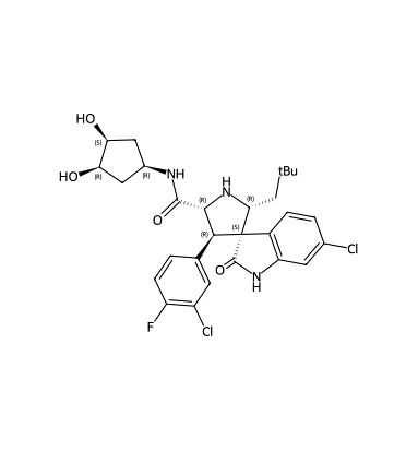 CC(C)(C)C[C@H]1N[C@@H](C(=O)N[C@H]2C[C@@H](O)[C@@H](O)C2)[C@H](c2ccc(F)c(Cl)c2)[C@@]12C(=O)Nc1cc(Cl)ccc12